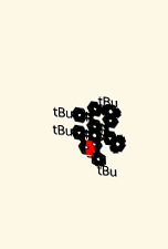 CC(C)(C)c1ccc(N(c2ccc(C(C)(C)C)cc2)c2cc3c4c(c2)N(c2ccc(C(C)(C)C)cc2-c2ccccc2)c2cc5sc6cc(C(C)(C)C)ccc6c5cc2B4c2cc4c(cc2N3c2ccc3c(c2)C(C)(C)CCC3(C)C)C(C)(C)CCC4(C)C)cc1